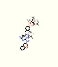 CN(C)[C@@H](Cc1ccc(B2OC(C)(C)C(C)(C)O2)cc1)C1(NC(=NC#N)NC2COc3ccccc3C2)CC1